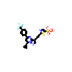 O=S(=O)(O)c1cnc(C#Cc2cnn3c(C4CC4)cc(-c4ccc(C(F)(F)F)cc4)nc23)s1